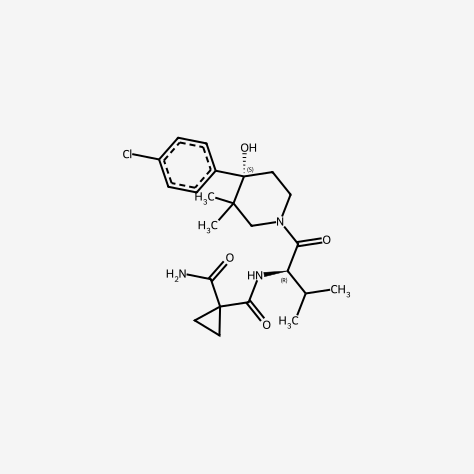 CC(C)[C@@H](NC(=O)C1(C(N)=O)CC1)C(=O)N1CC[C@](O)(c2ccc(Cl)cc2)C(C)(C)C1